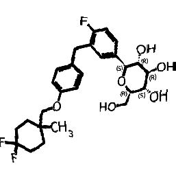 CC1(COc2ccc(Cc3cc([C@@H]4O[C@H](CO)[C@@H](O)[C@H](O)[C@H]4O)ccc3F)cc2)CCC(F)(F)CC1